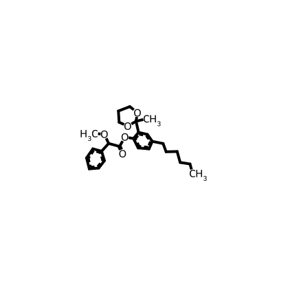 CCCCCCc1ccc(OC(=O)C(OC)c2ccccc2)c(C2(C)OCCCO2)c1